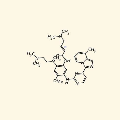 COc1cc(N(C)CCN(C)C)c(NC(=O)/C=C/CN(C)C)cc1Nc1nccc(-c2ncc3c(C)cccn23)n1